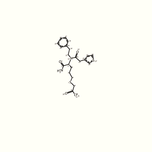 NC(=O)[C@H](CCCSCC(=O)C(F)(F)F)N(CCc1ccccc1)C(=O)Cc1ccsc1